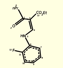 CCCC(=O)C(=CNc1ccccc1F)C(=O)OCC